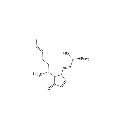 C/C=C/CCC(C(=O)O)C1C(=O)C=CC1/C=C/C(O)CCCCC